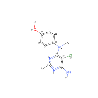 CNc1nc(C)nc(N(C)c2ccc(OC)cc2)c1Cl